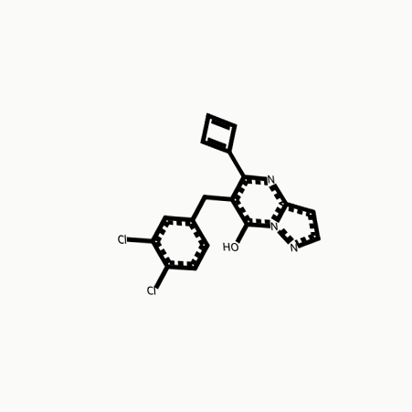 Oc1c(Cc2ccc(Cl)c(Cl)c2)c(C2=CC=C2)nc2ccnn12